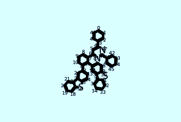 c1ccc(-c2cc(-c3cccc(-c4ccc5sc6ccccc6c5c4)c3-c3ccc4sc5ccccc5c4c3)nc(-c3ccccc3)n2)cc1